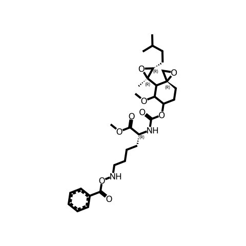 COC(=O)[C@@H](CCCCNOC(=O)c1ccccc1)NC(=O)OC1CC[C@]2(CO2)C([C@@]2(C)O[C@@H]2CCC(C)C)C1OC